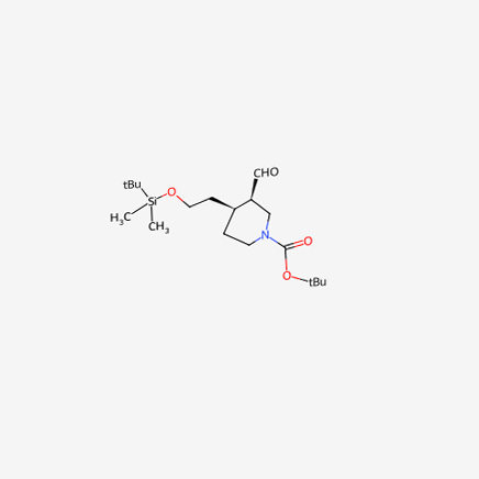 CC(C)(C)OC(=O)N1CC[C@@H](CCO[Si](C)(C)C(C)(C)C)[C@@H](C=O)C1